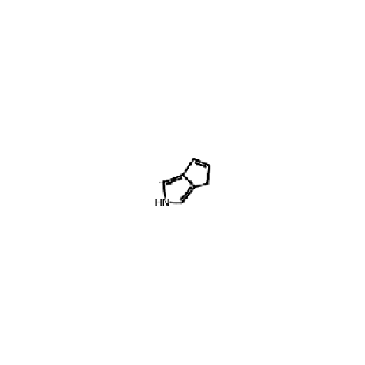 [c]1[nH]cc2c1C=CC2